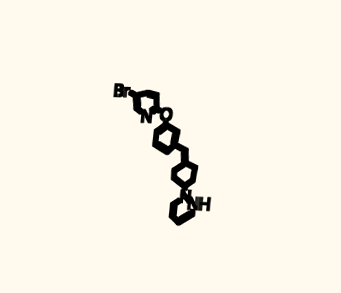 Brc1ccc(Oc2cccc(C=C3CCC(N4C=CC=CN4)CC3)c2)nc1